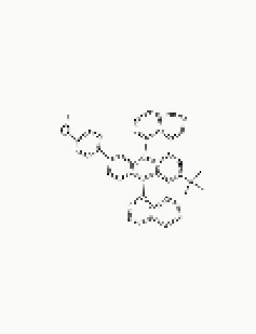 COc1ccc(-c2ccc3c(-c4cccc5ccccc45)c4cc(C(C)(C)C)ccc4c(-c4cccc5ccccc45)c3c2)cc1